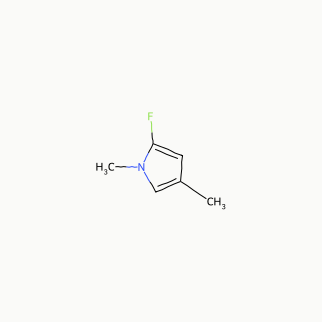 Cc1cc(F)n(C)c1